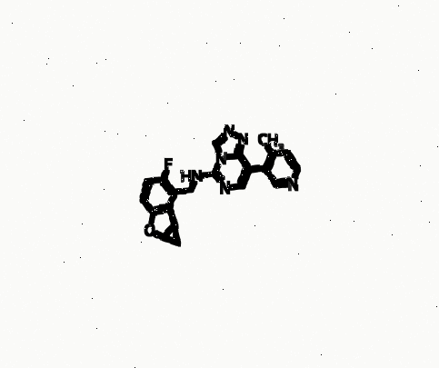 Cc1ccncc1-c1cnc(NCc2c(F)ccc3c2C2CC2O3)n2cnnc12